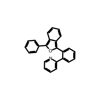 c1ccc(-c2oc(-c3ccccc3-c3ccccn3)c3ccccc23)cc1